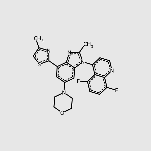 Cc1csc(-c2cc(N3CCOCC3)cc3c2nc(C)n3-c2ccnc3c(F)ccc(F)c23)n1